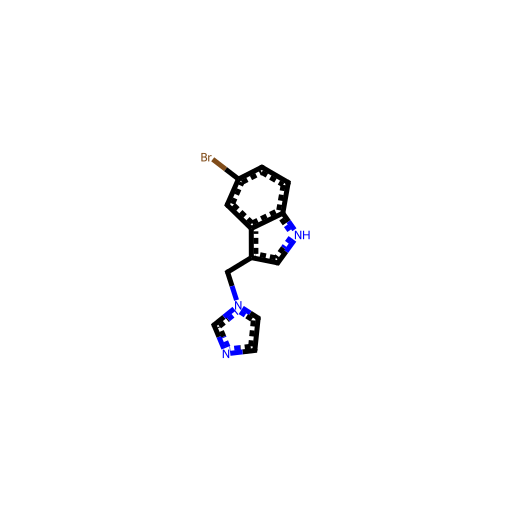 Brc1ccc2[nH]cc(Cn3ccnc3)c2c1